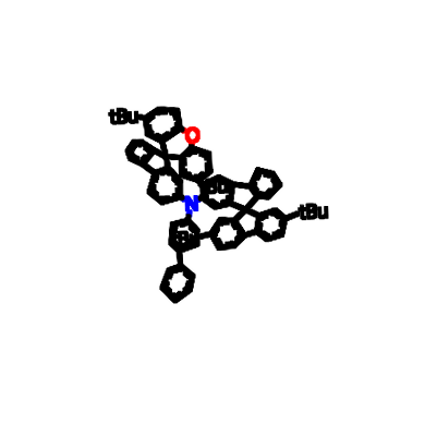 CC(C)(C)c1ccc2c(c1)C1(c3cc(C(C)(C)C)ccc3O2)c2ccccc2-c2ccc(N(c3ccc(-c4ccccc4)cc3)c3ccc4c(c3)C3(c5ccccc5-4)c4cc(C(C)(C)C)ccc4-c4ccc(C(C)(C)C)cc43)cc21